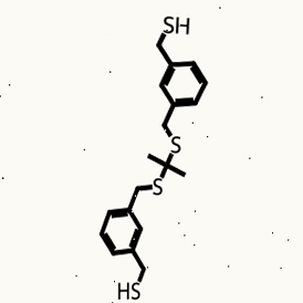 CC(C)(SCc1cccc(CS)c1)SCc1cccc(CS)c1